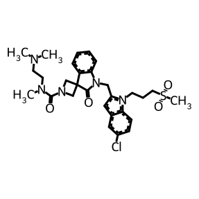 CN(C)CCN(C)C(=O)N1CC2(C1)C(=O)N(Cc1cc3cc(Cl)ccc3n1CCCS(C)(=O)=O)c1ccccc12